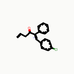 C=CCC(=O)/C(=C/c1ccc(Cl)cc1)c1ccccc1